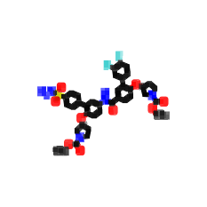 CC(C)(C)OC(=O)N1CC[C@H](Oc2ccc(NC(=O)c3ccc(O[C@H]4CCN(C(=O)OC(C)(C)C)C4)c(-c4ccc(F)c(F)c4)c3)cc2-c2ccc(S(N)(=O)=O)cc2)C1